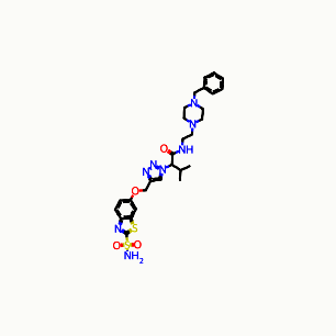 CC(C)C(C(=O)NCCN1CCN(Cc2ccccc2)CC1)n1cc(COc2ccc3nc(S(N)(=O)=O)sc3c2)nn1